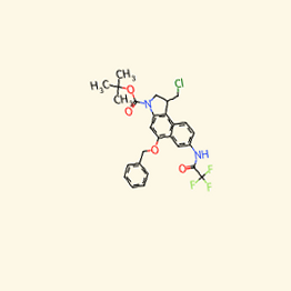 CC(C)(C)OC(=O)N1CC(CCl)c2c1cc(OCc1ccccc1)c1cc(NC(=O)C(F)(F)F)ccc21